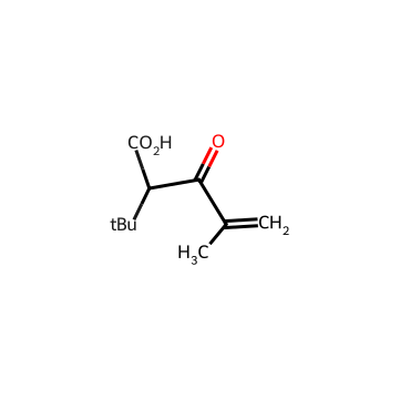 C=C(C)C(=O)C(C(=O)O)C(C)(C)C